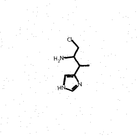 CC(c1c[nH]cn1)C(N)CCl